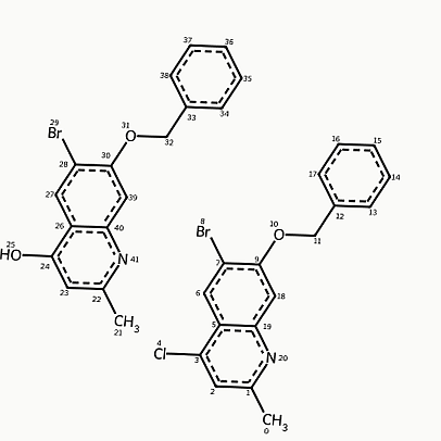 Cc1cc(Cl)c2cc(Br)c(OCc3ccccc3)cc2n1.Cc1cc(O)c2cc(Br)c(OCc3ccccc3)cc2n1